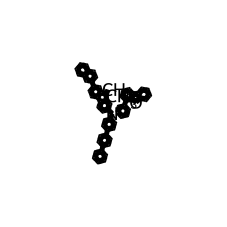 CC1(C)c2cc(-c3ccc4ccccc4c3)ccc2-c2ccc(N(c3ccc(-c4ccc(-c5ccccc5)cc4)cc3)c3cccc(-c4cccc5c4oc4ccccc45)c3)cc21